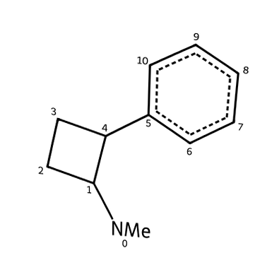 CNC1CCC1c1ccccc1